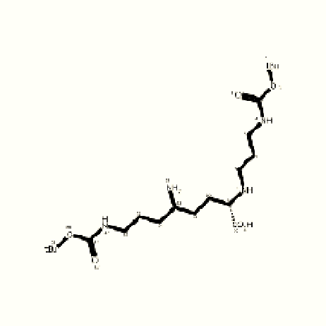 CC(C)(C)OC(=O)NCCCN[C@@H](CCC(N)CCCNC(=O)OC(C)(C)C)C(=O)O